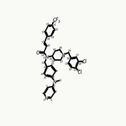 CN(c1ccncc1)c1ccc(CN(C(=O)C=Cc2ccc(C(F)(F)F)cc2)C2CCN(Cc3ccc(Cl)c(Cl)c3)CC2)cc1